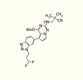 COc1nc(NCC(C)(C)C#N)nn2ccc(-c3ccc4nnn(CCC(F)F)c4c3)c12